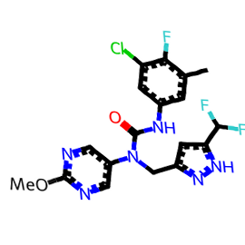 COc1ncc(N(Cc2cc(C(F)F)[nH]n2)C(=O)Nc2cc(C)c(F)c(Cl)c2)cn1